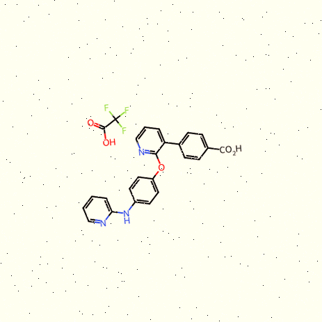 O=C(O)C(F)(F)F.O=C(O)c1ccc(-c2cccnc2Oc2ccc(Nc3ccccn3)cc2)cc1